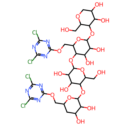 OCC1OCC(O)C(O)C1OC1OC(COc2nc(Cl)nc(Cl)n2)C(OC2OC(CO)C(OC3OC(COc4nc(Cl)nc(Cl)n4)CC(O)C3O)C(O)C2O)C(O)C1O